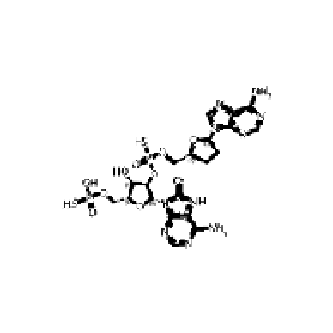 Nc1ncnc2c1ncn2[C@H]1CC[C@@H](COP(=O)(S)OC2[C@H](n3c(=O)[nH]c4c(N)ncnc43)O[C@H](COP(=O)(O)S)[C@H]2O)O1